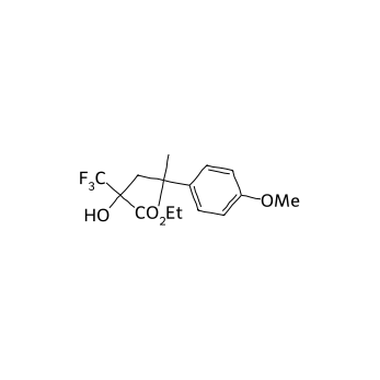 CCOC(=O)C(O)(CC(C)(C)c1ccc(OC)cc1)C(F)(F)F